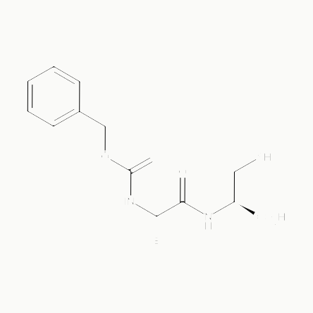 C[C@H](NC(=O)OCc1ccccc1)C(=O)N[C@@H](CS)C(=O)O